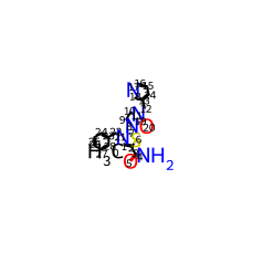 CC1=C(C(N)=O)SC(N2CCN(Cc3cccnc3)C2=O)N1Cc1ccccc1